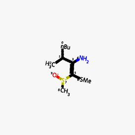 CCCCC(C)C(N)=C(SC)[S+](C)[O-]